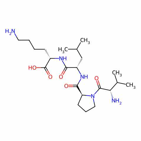 CC(C)C[C@H](NC(=O)[C@@H]1CCCN1C(=O)[C@@H](N)C(C)C)C(=O)N[C@@H](CCCCN)C(=O)O